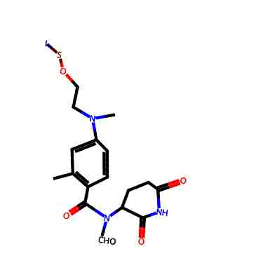 Cc1cc(N(C)CCOSI)ccc1C(=O)N(C=O)C1CCC(=O)NC1=O